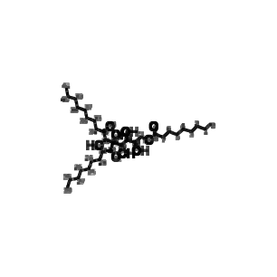 CCCCCCCCC(=O)OC[C@@H](O)[C@@H](O)[C@H](O)[C@](O)(C(=O)CCCCCCCC)C(O)C(=O)CCCCCCCC